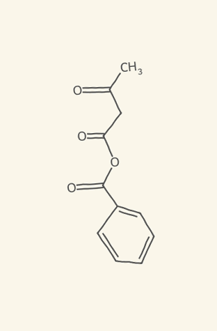 CC(=O)CC(=O)OC(=O)c1ccccc1